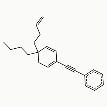 C=CCCC1(CCCC)C=CC(C#Cc2ccccc2)=CC1